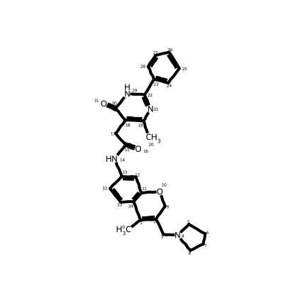 CC1=C(CN2CCCC2)COc2cc(NC(=O)Cc3c(C)nc(-c4ccccc4)[nH]c3=O)ccc21